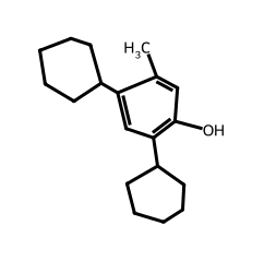 Cc1cc(O)c(C2CCCCC2)cc1C1CCCCC1